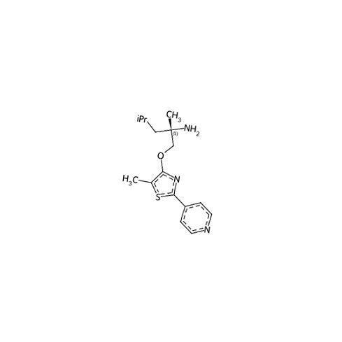 Cc1sc(-c2ccncc2)nc1OC[C@@](C)(N)CC(C)C